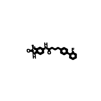 Cn1c(=O)[nH]c2ccc(NC(=O)CCCc3ccc(-c4ccccc4F)cc3)cc21